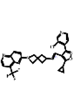 FC(F)(F)c1ccnc2ccc(N3CC4(CC(/C=C/c5c(-c6ccncc6Cl)noc5C5CC5)C4)C3)cc12